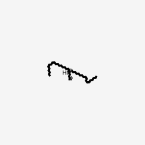 CCCCC/C=C\C/C=C\CCCCCCCCN(CCCCCCCC/C=C\C/C=C\CCCCC)NCCN(C)C